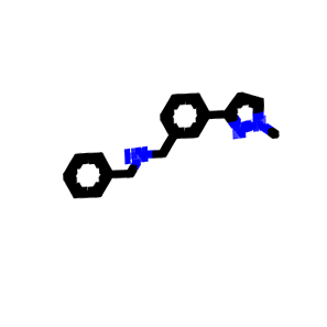 Cn1ccc(-c2cccc(CNCc3ccccc3)c2)n1